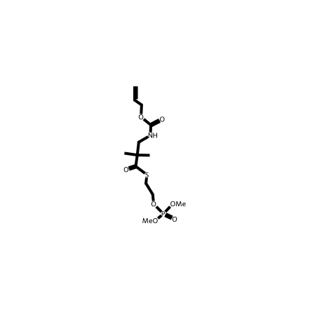 C=CCOC(=O)NCC(C)(C)C(=O)SCCOP(=O)(OC)OC